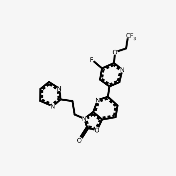 O=c1oc2ccc(-c3cnc(OCC(F)(F)F)c(F)c3)nc2n1CCc1ncccn1